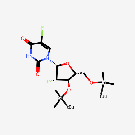 CC(C)(C)[Si](C)(C)OC[C@H]1O[C@@H](n2cc(F)c(=O)[nH]c2=O)[C@@H](F)[C@@H]1O[Si](C)(C)C(C)(C)C